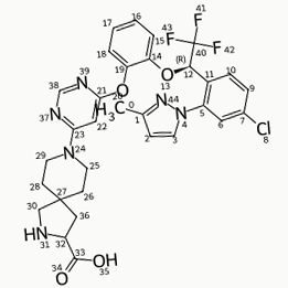 Cc1ccn(-c2cc(Cl)ccc2[C@@H](Oc2ccccc2Oc2cc(N3CCC4(CC3)CNC(C(=O)O)C4)ncn2)C(F)(F)F)n1